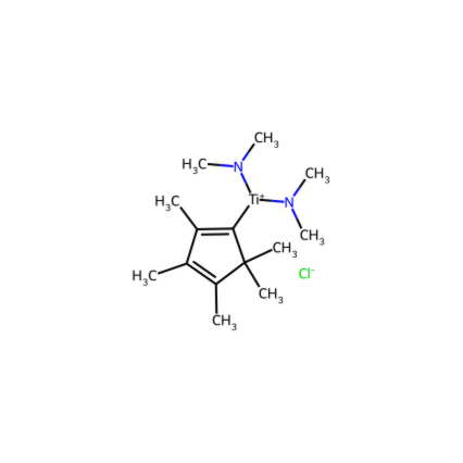 CC1=C(C)C(C)(C)[C]([Ti+]([N](C)C)[N](C)C)=C1C.[Cl-]